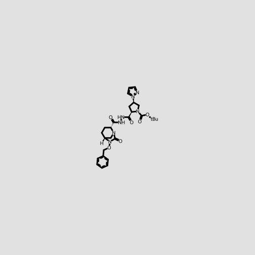 CC(C)(C)OC(=O)N1C[C@H](n2cccn2)C[C@@H]1C(=O)NNC(=O)[C@H]1CC[C@@H]2CN1C(=O)N2OCc1ccccc1